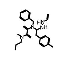 C=CNNC(Cc1ccc(C)cc1)N(Cc1ccccc1)C(=C)C(=C)N(C)CCC